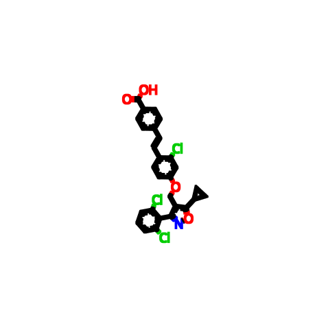 O=C(O)c1ccc(/C=C/c2ccc(OCc3c(-c4c(Cl)cccc4Cl)noc3C3CC3)cc2Cl)cc1